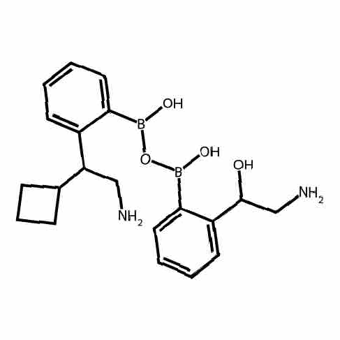 NCC(O)c1ccccc1B(O)OB(O)c1ccccc1C(CN)C1CCC1